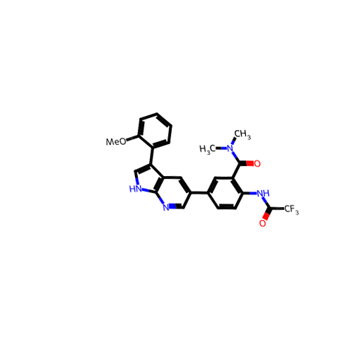 COc1ccccc1-c1c[nH]c2ncc(-c3ccc(NC(=O)C(F)(F)F)c(C(=O)N(C)C)c3)cc12